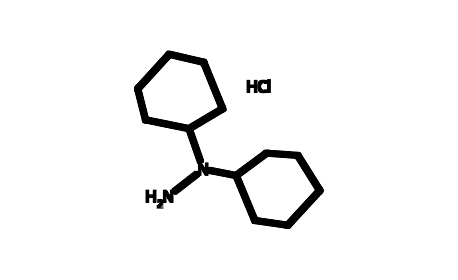 Cl.NN(C1CCCCC1)C1CCCCC1